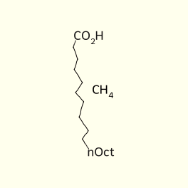 C.CCCCCCCCCCCCCCCCCC(=O)O